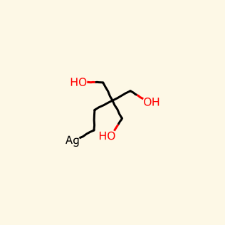 OCC(CO)(CO)C[CH2][Ag]